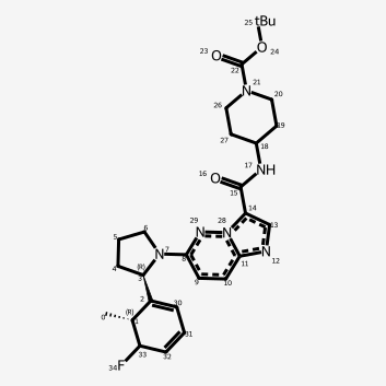 C[C@@H]1C([C@H]2CCCN2c2ccc3ncc(C(=O)NC4CCN(C(=O)OC(C)(C)C)CC4)n3n2)=CC=CC1F